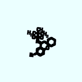 CC(C)(C)S(=O)(=O)N=C1CC2(CCCCC2)Oc2ccc(Br)cc21